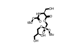 CC(C)(C)OC(=O)N[C@@H](CO)C(=O)OCP(=O)(OC[C@@H](O)CO)OC(C)(C)C